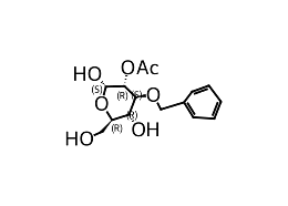 CC(=O)O[C@@H]1[C@@H](OCc2ccccc2)[C@H](O)[C@@H](CO)O[C@@H]1O